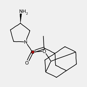 CC(=O)C12CC3CC(C1)C(OC(=O)N1CC[C@@H](N)C1)C(C3)C2